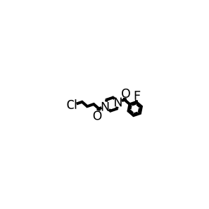 O=C(CCCCl)N1CCN(C(=O)c2ccccc2F)CC1